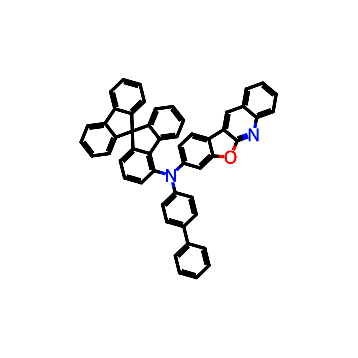 c1ccc(-c2ccc(N(c3ccc4c(c3)oc3nc5ccccc5cc34)c3cccc4c3-c3ccccc3C43c4ccccc4-c4ccccc43)cc2)cc1